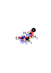 CCOc1nc(N)nc2c1ncn2[C@@H]1O[C@](F)(COP(C)(=O)N[C@@H](C)C(=O)OC2CCCCC2)[C@@H](F)[C@@]1(C)O